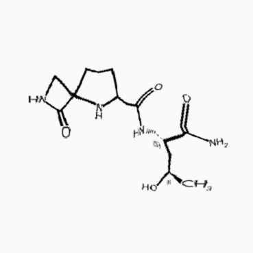 C[C@@H](O)[C@H](NC(=O)C1CCC2(CNC2=O)N1)C(N)=O